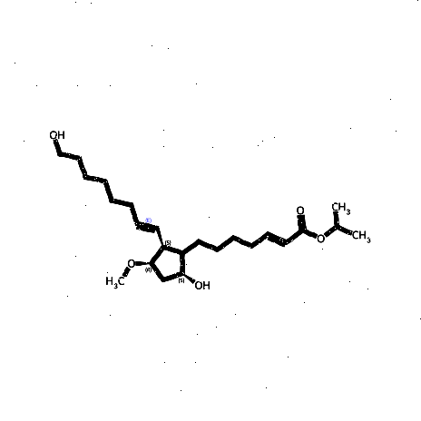 CO[C@@H]1C[C@H](O)C(CCCCC=CC(=O)OC(C)C)[C@@H]1/C=C/CCCCCCO